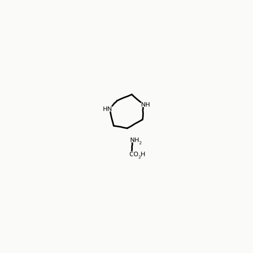 C1CNCCNC1.NC(=O)O